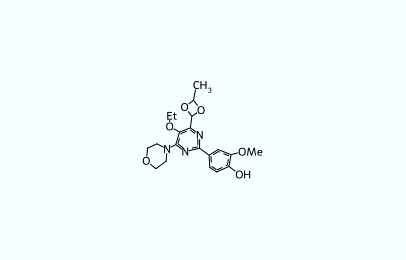 CCOc1c(C2OC(C)O2)nc(-c2ccc(O)c(OC)c2)nc1N1CCOCC1